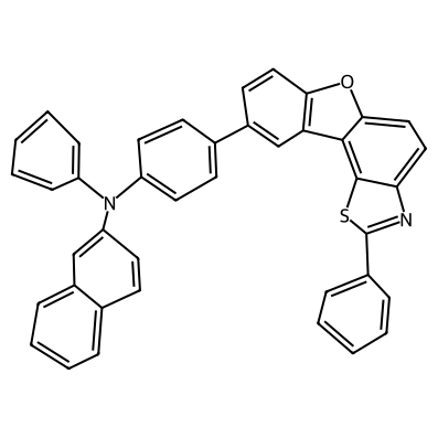 c1ccc(-c2nc3ccc4oc5ccc(-c6ccc(N(c7ccccc7)c7ccc8ccccc8c7)cc6)cc5c4c3s2)cc1